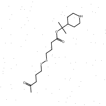 CC(=O)CCCSSCCCC(=O)OC(C)(C)C1CCNCC1